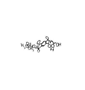 C[Si](C)(C)CCOCn1c(=O)c2cc3c(=O)n(CC(O)CO)c(=O)c3cc2c1=O